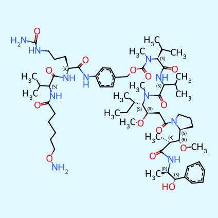 CCC(C)[C@@H]([C@@H](CC(=O)N1CCC[C@H]1[C@H](OC)[C@@H](C)C(=O)N[C@H](C)[C@@H](O)c1ccccc1)OC)N(C)C(=O)[C@@H](NC(=O)[C@H](C(C)C)N(C)C(=O)OCc1ccc(NC(=O)[C@H](CCCNC(N)=O)NC(=O)[C@@H](NC(=O)CCCCCON)C(C)C)cc1)C(C)C